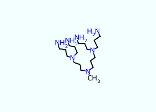 CN(CCCN(CCCN)CCCN)CCCN(CCCN)CCCN